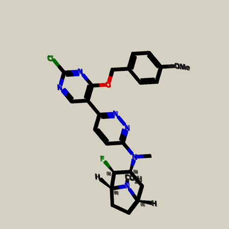 COc1ccc(COc2nc(Cl)ncc2-c2ccc(N(C)[C@H]3C[C@@H]4CC[C@H]([C@H]3F)N4C(=O)O)nn2)cc1